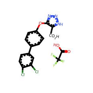 O=C(O)C(F)(F)F.O=C(O)c1[nH]nnc1Oc1ccc(-c2ccc(Cl)c(Cl)c2)cc1